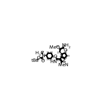 CNc1sc2c(c1C(=N)O[C@H]1CC[C@H](N(C)C(=O)OC(C)(C)C)CC1)[C@@H](C[C@H](OC)C(N)=O)CC2